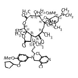 CC[C@H]1OC(=O)[C@H](C)[C@@H](O)[C@H](C)[C@@H](O[C@@H]2O[C@H](C)C[C@H](N(C)C)[C@H]2OC)[C@](C)(OC)C[C@@H](C)C(=O)[C@H](C)[C@H]2[C@H](SCCN(Cc3c(Cl)cncc3Cl)c3ccc(OC)c(OC4CCCC4)c3)C(=O)O[C@@]21C